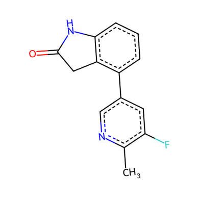 Cc1ncc(-c2cccc3c2CC(=O)N3)cc1F